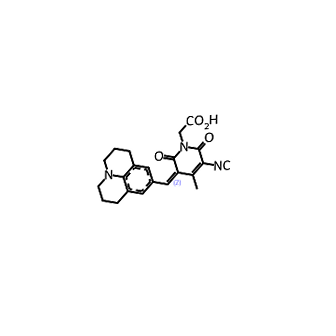 [C-]#[N+]C1=C(C)/C(=C/c2cc3c4c(c2)CCCN4CCC3)C(=O)N(CC(=O)O)C1=O